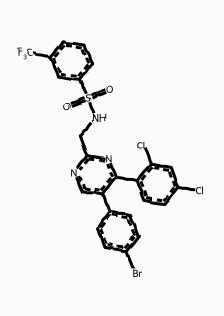 O=S(=O)(NCc1ncc(-c2ccc(Br)cc2)c(-c2ccc(Cl)cc2Cl)n1)c1cccc(C(F)(F)F)c1